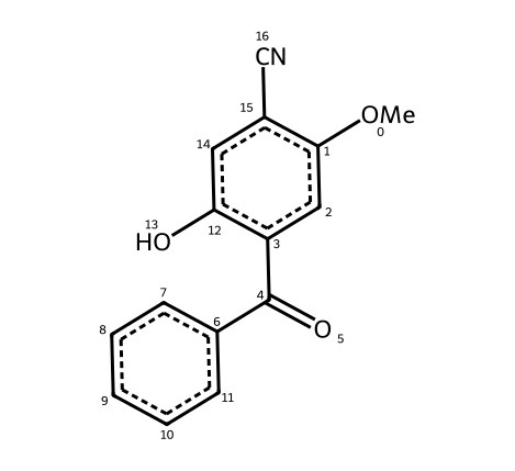 COc1cc(C(=O)c2ccccc2)c(O)cc1C#N